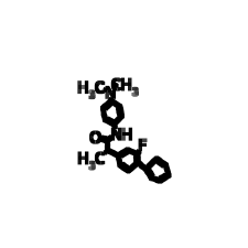 C[C@@H](C(=O)Nc1ccc(N(C)C)cc1)c1ccc(-c2ccccc2)c(F)c1